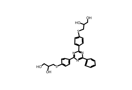 OCC(O)CSc1ccc(-c2nc(-c3ccccc3)nc(-c3ccc(SCC(O)CO)cc3)n2)cc1